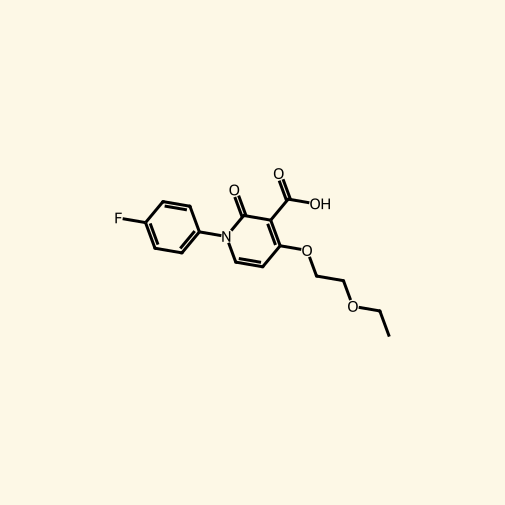 CCOCCOc1ccn(-c2ccc(F)cc2)c(=O)c1C(=O)O